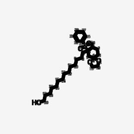 CC1CCC2(CC1(CCCCCCCCCCCCCCO)S(=O)(=O)c1ccccc1)OCCO2